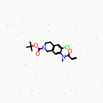 C=CC(=O)N(C)c1cc2c(cc1Cl)CCN(C(=O)OC(C)(C)C)C2